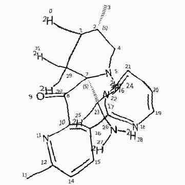 [2H]C1[C@H](C)CN([2H])[C@](C(=O)c2nc(C)ccc2-c2ncccn2)(C([2H])([2H])N([2H])[2H])C1([2H])[2H]